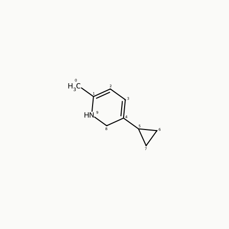 CC1=CC=C(C2CC2)CN1